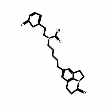 O=C1C=CC=C(CCN(CCCCCc2cc3c4c(c2)CCN4C(=O)CC3)C(=O)O)C1